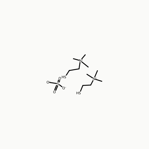 C[N+](C)(C)CCS.C[N+](C)(C)CCS.O=S(=O)([O-])[O-]